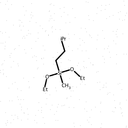 CCO[Si](C)(CCC(C)C)OCC